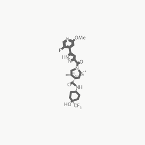 COc1cc(-c2cc(C(=O)N3C[C@H](C)[C@@H](C(=O)N[C@H]4CC[C@@](O)(C(F)(F)F)CC4)C[C@H]3C)n[nH]2)c(F)cn1